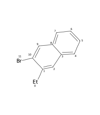 CCc1cc2ccccc2cc1Br